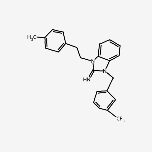 Cc1ccc(CCn2c(=N)n(Cc3cccc(C(F)(F)F)c3)c3ccccc32)cc1